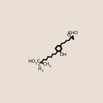 CC(C)(CCCCCCc1ccc(CCCCC2(OC=O)CC2)cc1O)C(=O)O